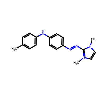 Cc1ccc(Nc2ccc(/N=N/c3n(C)cc[n+]3C)cc2)cc1